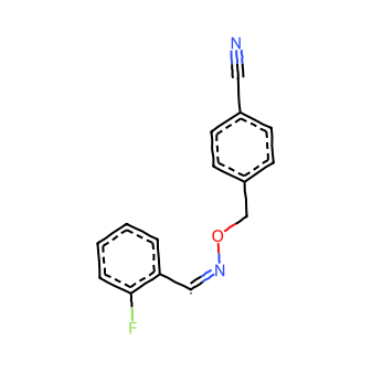 N#Cc1ccc(CO/N=[C]\c2ccccc2F)cc1